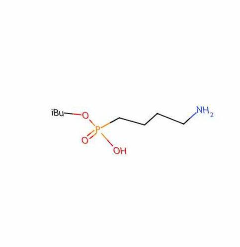 CCC(C)OP(=O)(O)CCCCN